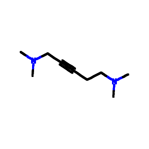 CN(C)CC#CCCN(C)C